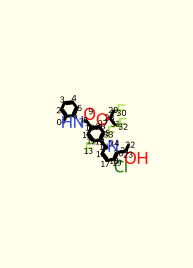 Cc1ccccc1NC(=O)c1cc(F)c(-c2ccc(Cl)c(C(C)O)n2)cc1OC(CF)C(F)F